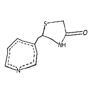 O=C1CSC(c2cccnc2)N1